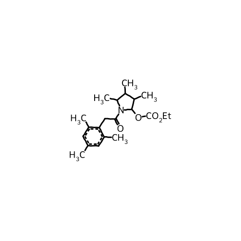 CCOC(=O)OC1C(C)C(C)C(C)N1C(=O)Cc1c(C)cc(C)cc1C